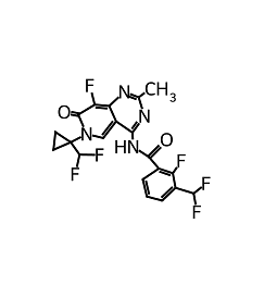 Cc1nc(NC(=O)c2cccc(C(F)F)c2F)c2cn(C3(C(F)F)CC3)c(=O)c(F)c2n1